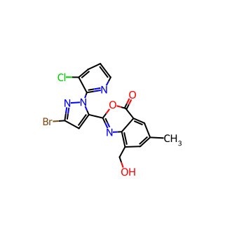 Cc1cc(CO)c2nc(-c3cc(Br)nn3-c3ncccc3Cl)oc(=O)c2c1